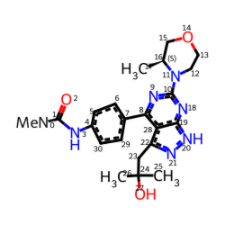 CNC(=O)Nc1ccc(-c2nc(N3CCOC[C@@H]3C)nc3[nH]nc(CC(C)(C)O)c23)cc1